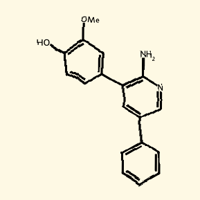 COc1cc(-c2cc(-c3ccccc3)cnc2N)ccc1O